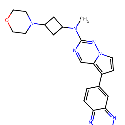 CN(c1ncc2c(-c3ccc4nccnc4c3)ccn2n1)C1CC(N2CCOCC2)C1